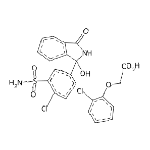 NS(=O)(=O)c1cc(C2(O)NC(=O)c3ccccc32)ccc1Cl.O=C(O)COc1ccccc1Cl